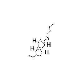 C=C[C@@H]1C[C@H]2C[C@@H]1C1C2[C@H]2C[C@@H]1C[C@H]2SCCCC